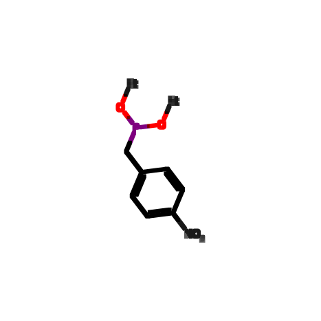 CCOP(Cc1ccc([N+](=O)[O-])cc1)OCC